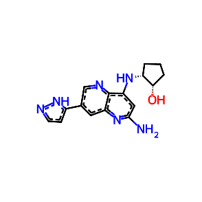 Nc1cc(N[C@@H]2CCC[C@@H]2O)c2ncc(-c3ccn[nH]3)cc2n1